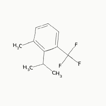 Cc1cccc(C(F)(F)F)c1C(C)C